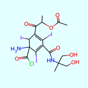 CC(=O)OC(C)C(=O)C1=C(I)C(C(=O)NC(C)(CO)CO)=C(I)C(N)(C(=O)Cl)C1I